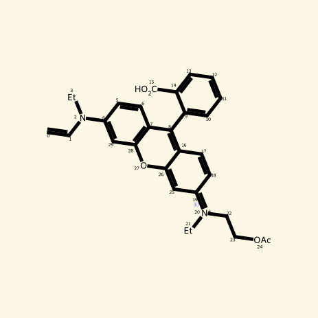 C=CN(CC)c1ccc2c(-c3ccccc3C(=O)O)c3cc/c(=[N+](/CC)CCOC(C)=O)cc-3oc2c1